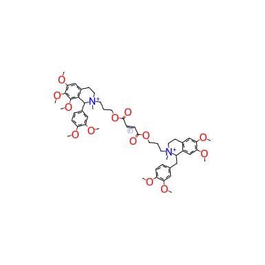 COc1ccc(CC2c3cc(OC)c(OC)cc3CC[N+]2(C)CCCOC(=O)/C=C/C(=O)OCCC[N+]2(C)CCc3cc(OC)c(OC)c(OC)c3C2c2ccc(OC)c(OC)c2)cc1OC